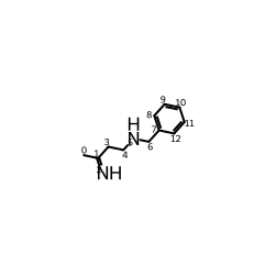 CC(=N)CCNCc1ccccc1